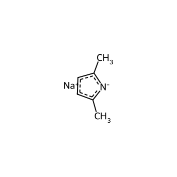 Cc1ccc(C)[n-]1.[Na+]